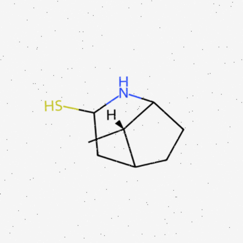 C[C@H]1C2CCC1NC(S)C2